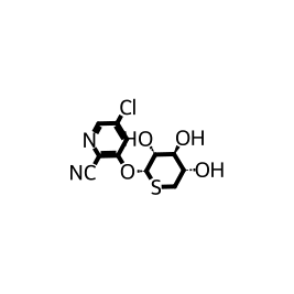 N#Cc1ncc(Cl)cc1O[C@H]1SC[C@@H](O)[C@H](O)[C@H]1O